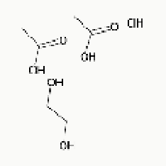 CC(=O)O.CC(=O)O.Cl.OCCO